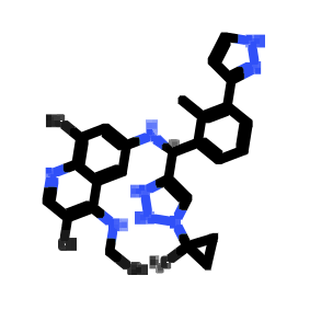 Cc1c(-c2cc[nH]n2)cccc1[C@H](Nc1cc(C#N)c2ncc(C#N)c(NCC(C)(C)C)c2c1)C1=CN(C2(C(F)(F)F)CC2)NN1